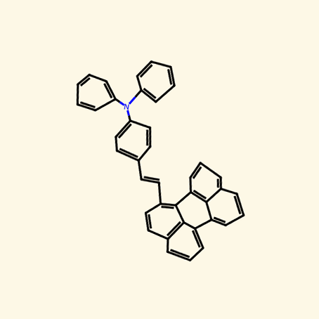 C(=Cc1ccc2cccc3c4cccc5cccc(c1c23)c54)c1ccc(N(c2ccccc2)c2ccccc2)cc1